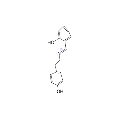 Oc1ccc(CC/N=C/c2ccccc2O)cc1